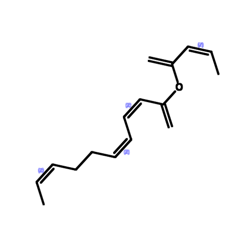 C=C(/C=C\C)OC(=C)/C=C\C=C/CC/C=C\C